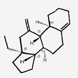 C=C1C[C@]2(CC)CCC[C@H]2[C@@H]2CCC3=CCCC[C@@H]3[C@@H]12